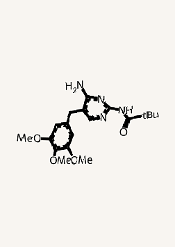 COc1cc(Cc2cnc(NC(=O)C(C)(C)C)nc2N)cc(OC)c1OC